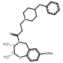 COc1ccc2c(c1)CN(C(=O)CCN1CCC(Cc3ccccc3)CC1)[C@@H](C)[C@@H](C)S2